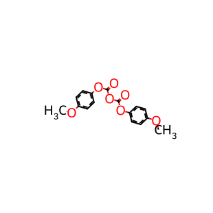 COc1ccc(OC(=O)OC(=O)Oc2ccc(OC)cc2)cc1